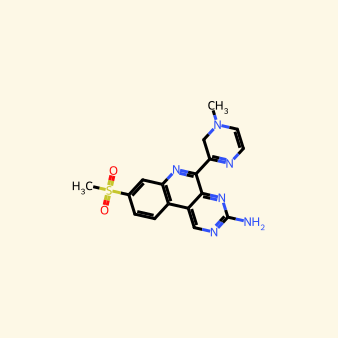 CN1C=CN=C(c2nc3cc(S(C)(=O)=O)ccc3c3cnc(N)nc23)C1